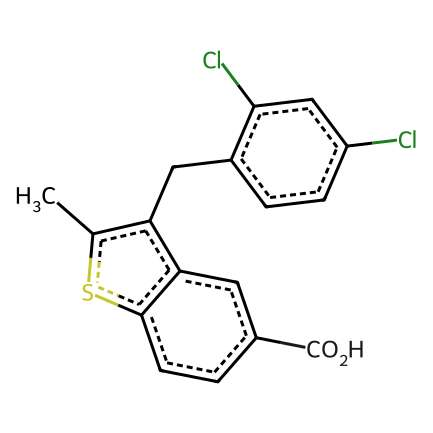 Cc1sc2ccc(C(=O)O)cc2c1Cc1ccc(Cl)cc1Cl